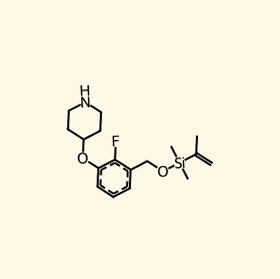 C=C(C)[Si](C)(C)OCc1cccc(OC2CCNCC2)c1F